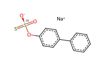 O=[S@@]([O-])(=S)Oc1ccc(-c2ccccc2)cc1.[Na+]